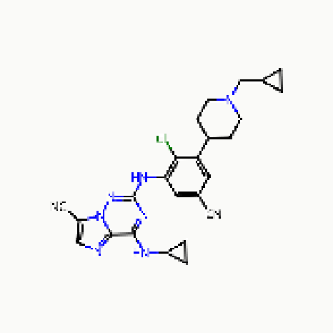 N#Cc1cc(Nc2nc(NC3CC3)c3ncc(C#N)n3n2)c(Cl)c(C2CCN(CC3CC3)CC2)c1